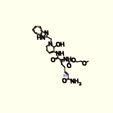 COCCOC(=O)N[C@@H](CC/C=C/C(N)=O)C(=O)NC1=CC=CN(Cc2nc3ccccc3[nH]2)C1O